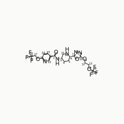 O=C(N[C@H]1CC[C@H](c2nnc(OCCOC(F)(F)F)o2)NC1)c1ccc(OCC(F)(F)F)nc1